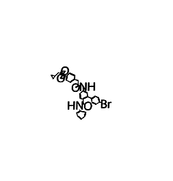 O=C(Cc1ccc(S(=O)(=O)CC2CC2)cc1)Nc1ccc(C(=O)Nc2ccccc2)c(-c2ccc(Br)cc2)c1